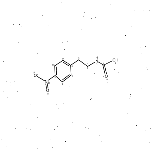 O=C(O)NCCc1ccc([N+](=O)[O-])cc1